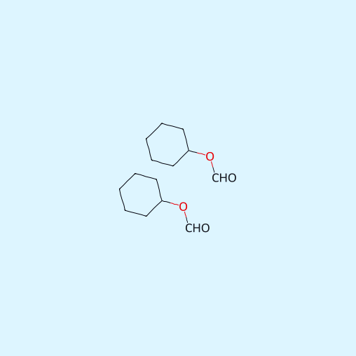 O=COC1CCCCC1.O=COC1CCCCC1